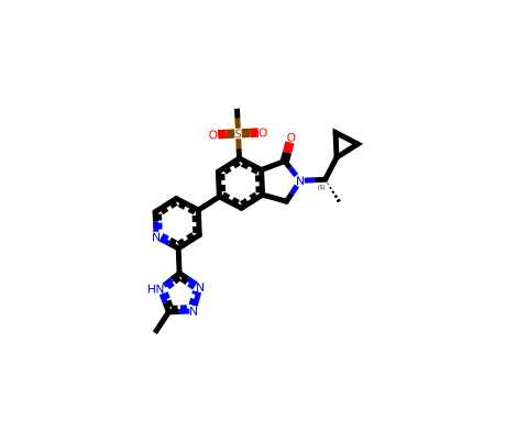 Cc1nnc(-c2cc(-c3cc4c(c(S(C)(=O)=O)c3)C(=O)N([C@@H](C)C3CC3)C4)ccn2)[nH]1